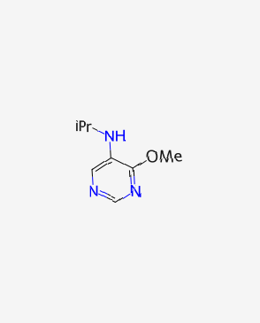 COc1ncncc1NC(C)C